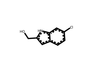 OCc1cc2ccc(Cl)cc2[nH]1